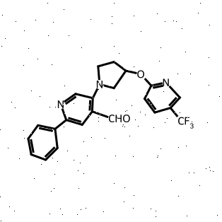 O=Cc1cc(-c2ccccc2)ncc1N1CCC(Oc2ccc(C(F)(F)F)cn2)C1